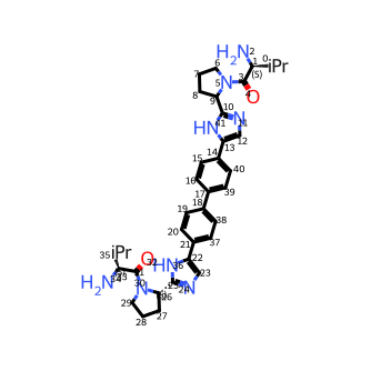 CC(C)[C@H](N)C(=O)N1CCCC1c1ncc(-c2ccc(-c3ccc(-c4cnc([C@@H]5CCCN5C(=O)[C@@H](N)C(C)C)[nH]4)cc3)cc2)[nH]1